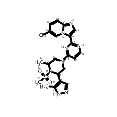 Cc1[nH]ncc1C1CN(c2ccnc(-c3cnc4ccc(Cl)cn34)n2)CC(C)N1S(C)(=O)=O